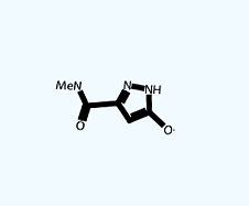 CNC(=O)c1cc([O])[nH]n1